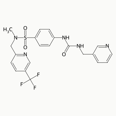 CN(Cc1ccc(C(F)(F)F)cn1)S(=O)(=O)c1ccc(NC(=O)NCc2cccnc2)cc1